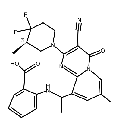 Cc1cc(C(C)Nc2ccccc2C(=O)O)c2nc(N3CCC(F)(F)[C@H](C)C3)c(C#N)c(=O)n2c1